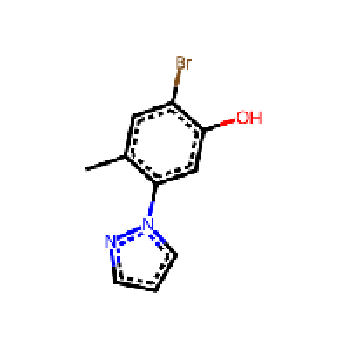 Cc1cc(Br)c(O)cc1-n1cccn1